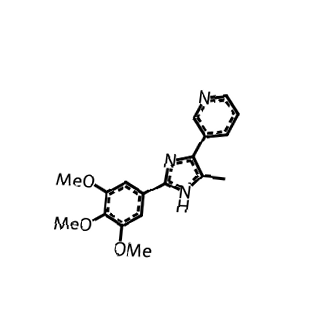 COc1cc(-c2nc(-c3cccnc3)c(C)[nH]2)cc(OC)c1OC